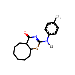 CCN(C1=NC(=O)C2CCCCCCC2S1)c1ccc(C(F)(F)F)cc1